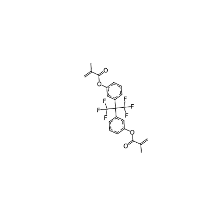 C=C(C)C(=O)Oc1cccc(C(c2cccc(OC(=O)C(=C)C)c2)(C(F)(F)F)C(F)(F)F)c1